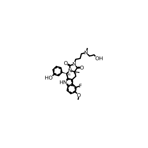 COc1ccc2[nH]c3c(c2c1F)C[C@@]1(C)C(=O)N(CCCN(C)CCO)C(=O)N1[C@@H]3c1cccc(O)c1